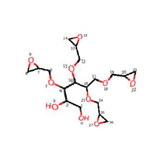 OCC(O)C(OCC1CO1)C(OCC1CO1)C(COCC1CO1)OCC1CO1